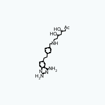 CC(=O)C[C@H](O)C[C@H](O)CCNCc1ccc(CCc2ccc3nc(N)nc(N)c3c2)cc1